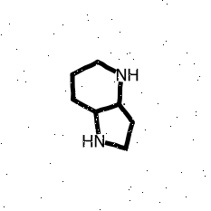 C1CN[C]2CCNC2C1